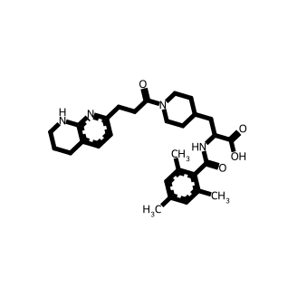 Cc1cc(C)c(C(=O)NC(CC2CCN(C(=O)CCc3ccc4c(n3)NCCC4)CC2)C(=O)O)c(C)c1